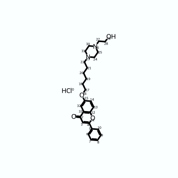 Cl.O=c1cc(-c2ccccc2)oc2ccc(OCCCCCCN3CCN(CCO)CC3)cc12